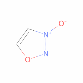 [O-][n+]1ccon1